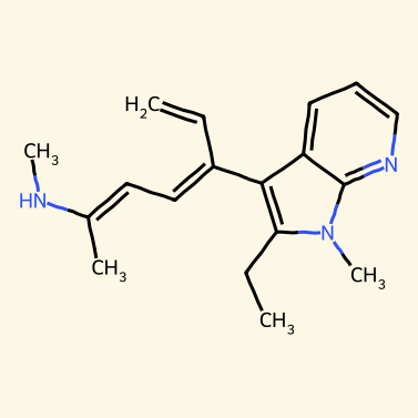 C=C/C(=C\C=C(/C)NC)c1c(CC)n(C)c2ncccc12